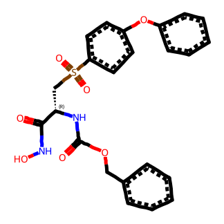 O=C(N[C@@H](CS(=O)(=O)c1ccc(Oc2ccccc2)cc1)C(=O)NO)OCc1ccccc1